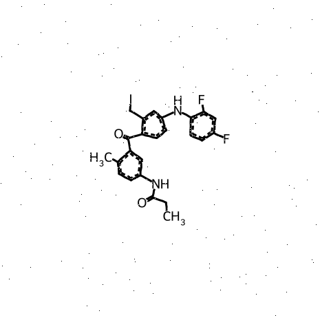 CCC(=O)Nc1ccc(C)c(C(=O)c2ccc(Nc3ccc(F)cc3F)cc2CI)c1